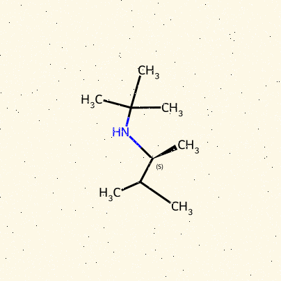 CC(C)[C@H](C)NC(C)(C)C